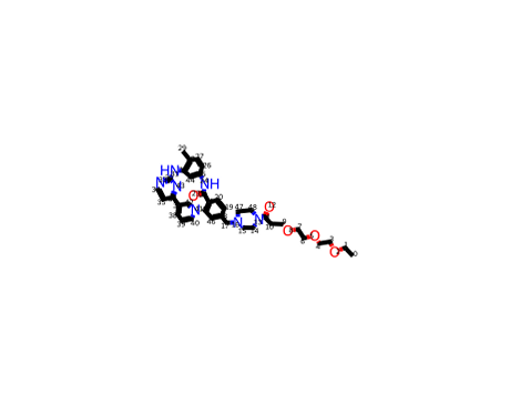 CCOCCOCCOCCC(=O)N1CCN(Cc2ccc(C(=O)Nc3ccc(C)c(Nc4nccc(-c5cccnc5)n4)c3)cc2)CC1